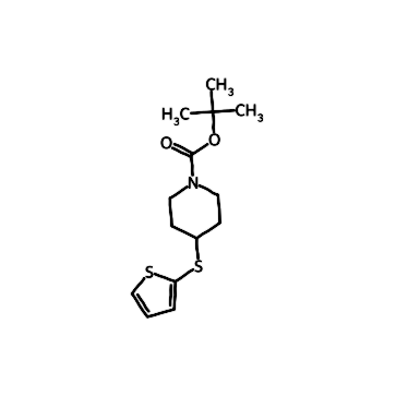 CC(C)(C)OC(=O)N1CCC(Sc2cccs2)CC1